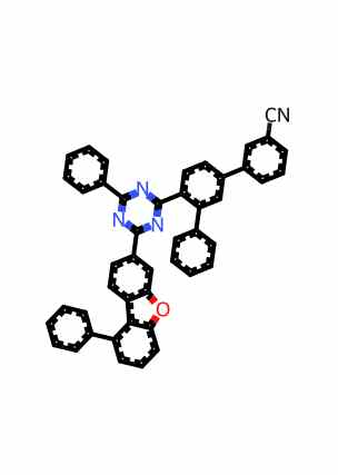 N#Cc1cccc(-c2ccc(-c3nc(-c4ccccc4)nc(-c4ccc5c(c4)oc4cccc(-c6ccccc6)c45)n3)c(-c3ccccc3)c2)c1